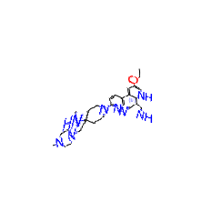 CCOC1=CN/C(=C(/C#N)C=N)C(c2ccc(N3CCC(CN4CCN(C)CC4)(NC)CC3)nc2)=C1